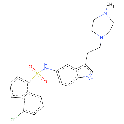 CN1CCN(CCc2c[nH]c3ccc(NS(=O)(=O)c4cccc5c(Cl)cccc45)cc23)CC1